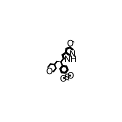 COc1cnc2[nH]c([C@H](CC3CCOCC3)c3ccc(S(C)(=O)=O)cc3)cc2c1